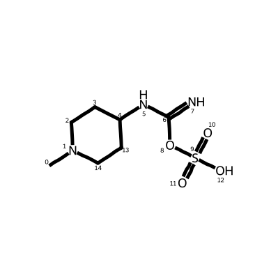 CN1CCC(NC(=N)OS(=O)(=O)O)CC1